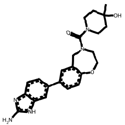 CC1(O)CCN(C(=O)N2CCOc3ccc(-c4ccc5nc(N)[nH]c5c4)cc3C2)CC1